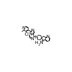 Cc1nccc(-c2ncc3c(N4CCC5(CC4)Cc4ncccc4[C@H]5N)nccn23)c1Cl